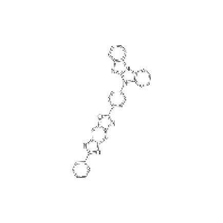 c1ccc(-c2nc3cc4oc(-c5ccc(-n6c7ccccc7n7c8ccccc8nc67)cc5)nc4cc3o2)cc1